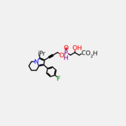 CC(C)c1c(C#CCO[PH](=O)CC(O)CC(=O)O)c(-c2ccc(F)cc2)c2n1CCCC2